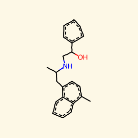 Cc1ccc(CC(C)NCC(O)c2ccccc2)c2ccccc12